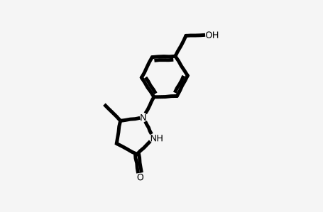 CC1CC(=O)NN1c1ccc(CO)cc1